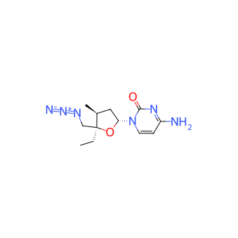 CC[C@@]1(CN=[N+]=[N-])O[C@@H](n2ccc(N)nc2=O)C[C@@H]1C